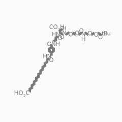 CC(C)(C)C(=O)COCCOCCNC(=O)COCCOCCNC(=O)C(CCC(=O)O)NC(=O)CCCNC(=O)C1CCC(CNC(=O)CCCCCCCCCCCCCCCCCCC(=O)O)CC1